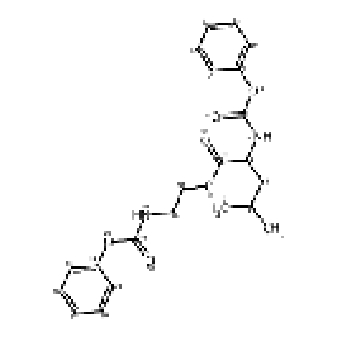 CC(C)CC(NC(=O)Oc1ccccc1)C(=O)OCCNC(=O)Oc1ccccc1